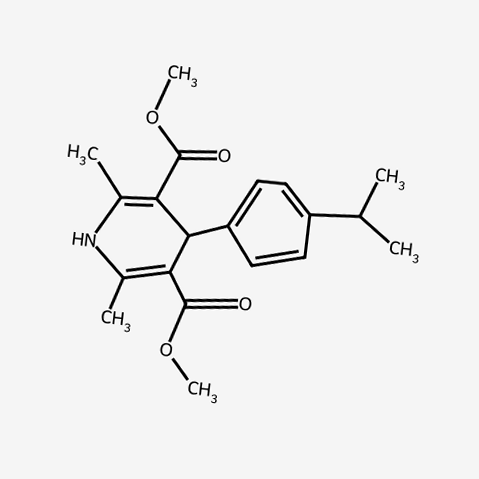 COC(=O)C1=C(C)NC(C)=C(C(=O)OC)C1c1ccc(C(C)C)cc1